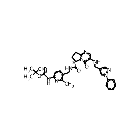 Cc1nc(NC(=O)OC(C)(C)C)ccc1CNC(=O)[C@@H]1CCc2ncc(NCc3cnn(-c4ccccc4)c3)c(=O)n21